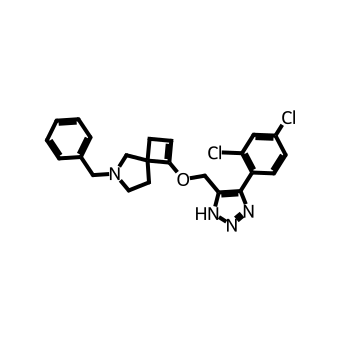 Clc1ccc(-c2nn[nH]c2COC2=CCC23CCN(Cc2ccccc2)C3)c(Cl)c1